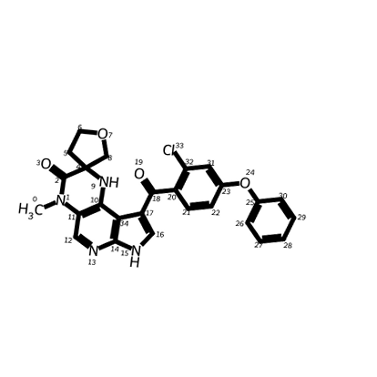 CN1C(=O)C2(CCOC2)Nc2c1cnc1[nH]cc(C(=O)c3ccc(Oc4ccccc4)cc3Cl)c21